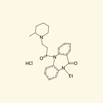 CCN1C(=O)c2ccccc2N(C(=O)CCN2CCCCC2C)c2ccccc21.Cl